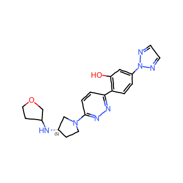 Oc1cc(-n2nccn2)ccc1-c1ccc(N2CC[C@H](NC3CCOC3)C2)nn1